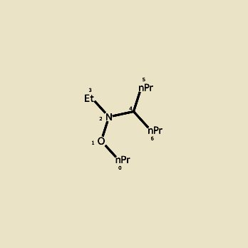 CCCON(CC)C(CCC)CCC